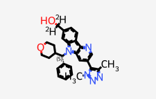 [2H]C([2H])(O)c1ccc2c3ncc(-c4c(C)nnn4C)cc3n([C@H](c3ccccc3)C3CCOCC3)c2c1